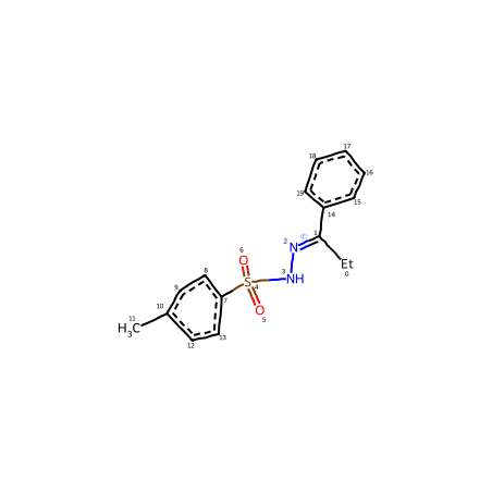 CC/C(=N\NS(=O)(=O)c1ccc(C)cc1)c1ccccc1